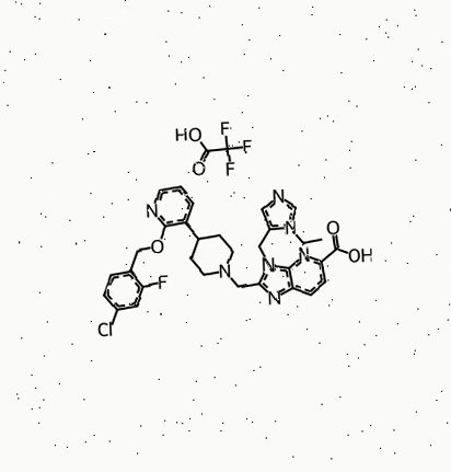 CCn1cncc1Cn1c(CN2CCC(c3cccnc3OCc3ccc(Cl)cc3F)CC2)nc2ccc(C(=O)O)nc21.O=C(O)C(F)(F)F